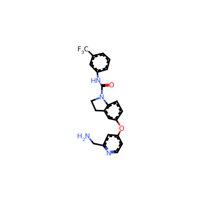 NCc1cc(Oc2ccc3c(c2)CCN3C(=O)Nc2cccc(C(F)(F)F)c2)ccn1